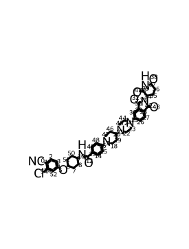 N#Cc1ccc(OC2CCC(NC(=O)c3ccc(N4CCC(N5CCN(c6ccc7c(c6)C(=O)N(C6CCC(=O)NC6=O)C7=O)CC5)CC4)cc3)CC2)cc1Cl